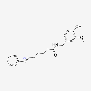 COc1cc(CNC(=O)CCCC/C=C/c2ccccc2)ccc1O